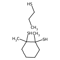 CC1(S)CCCCC1(C)S.CCCS